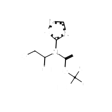 CC(CO)N(C(=O)OC(C)(C)C)c1ncno1